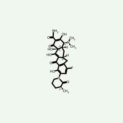 C[C@H]1CCCN(c2cc(F)c3c(c2O)C(=O)C2=C(O)[C@]4(O)C(=O)C(C(N)=O)=C(O)[C@@H](N(C)C)[C@@H]4C[C@@H]2C3)C1=O